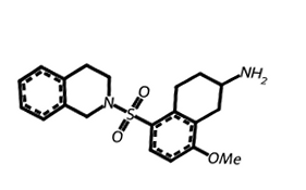 COc1ccc(S(=O)(=O)N2CCc3ccccc3C2)c2c1CC(N)CC2